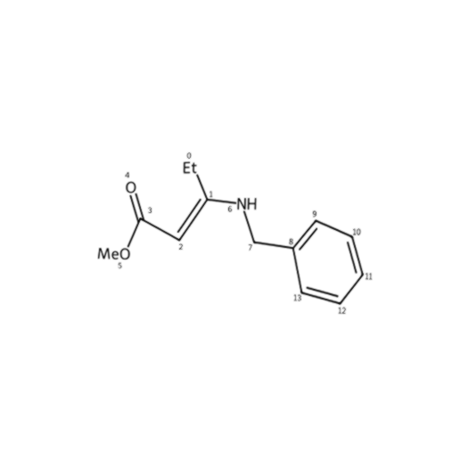 CCC(=CC(=O)OC)NCc1ccccc1